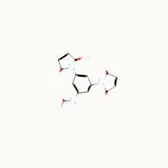 CCC(=O)Nc1cc(N2C(=O)C=CC2=O)cc(N2C(=O)C=CC2=O)c1